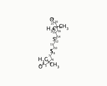 CC(C)(CC=O)CCCSCCCSCCCC(C)(C)CC=O